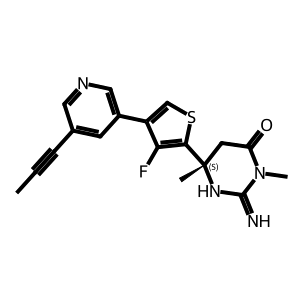 CC#Cc1cncc(-c2csc([C@]3(C)CC(=O)N(C)C(=N)N3)c2F)c1